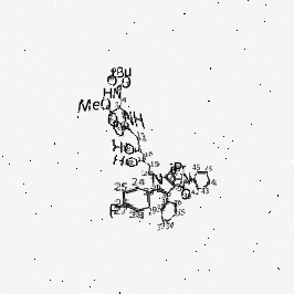 COC(=O)C(CNC(=O)OC(C)(C)C)NC(=O)C[C@H](O)C[C@H](O)CCn1c(-c2ccc(F)cc2)c(-c2ccccc2)c(C(=O)Nc2ccccc2)c1C(C)C